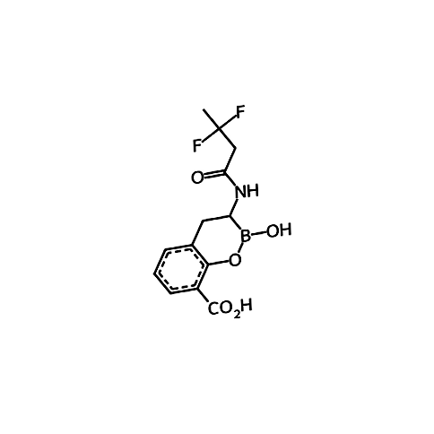 CC(F)(F)CC(=O)NC1Cc2cccc(C(=O)O)c2OB1O